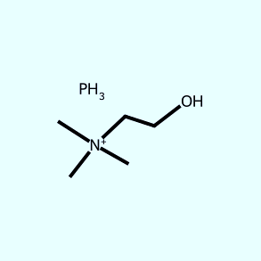 C[N+](C)(C)CCO.P